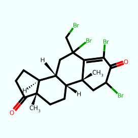 C[C@]12CC(Br)C(=O)C(Br)=C1C(Br)(CBr)C[C@@H]1[C@H]2CC[C@]2(C)C(=O)CC[C@@H]12